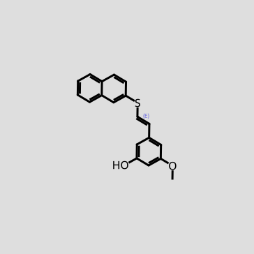 COc1cc(O)cc(/C=C/Sc2ccc3ccccc3c2)c1